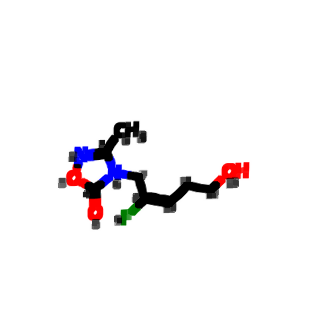 Cc1noc(=O)n1C/C(F)=C\CCO